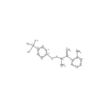 C=C(c1ccccc1N)N(N)CCc1ccc(C(F)(F)F)cc1